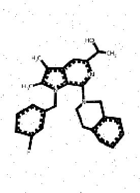 Cc1c(C)n(Cc2cccc(F)c2)c2c(N3CCc4ccccc4C3)nc(C(C)O)cc12